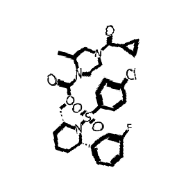 CC1CN(C(=O)C2CC2)CCN1C(=O)OC[C@H]1CCC[C@@H](c2cccc(F)c2)N1S(=O)(=O)c1ccc(Cl)cc1